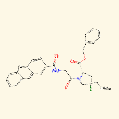 COC[C@@]1(F)C[C@@H](C(=O)OCc2ccccc2)N(C(=O)CNC(=O)c2ccc3cc4ccccc4cc3c2)C1